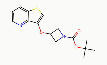 CC(C)(C)OC(=O)N1CC(Oc2csc3cccnc23)C1